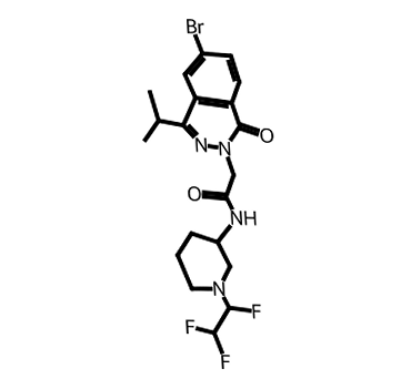 CC(C)c1nn(CC(=O)NC2CCCN(C(F)C(F)F)C2)c(=O)c2ccc(Br)cc12